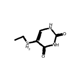 CC[SiH2]c1c[nH]c(=O)[nH]c1=O